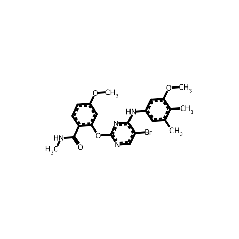 CNC(=O)c1ccc(OC)cc1Oc1ncc(Br)c(Nc2cc(C)c(C)c(OC)c2)n1